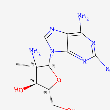 C[C@@]1(N)[C@H](O)[C@@H](CO)O[C@H]1n1cnc2c(N)nc(N)nc21